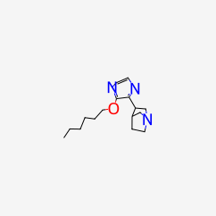 CCCCCCOc1nccnc1C1CN2CCC1C2